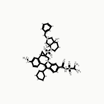 COc1ccc2c(c1)C1CC1(S(=O)(=O)N1CCC[C@H]3CN(Cc4ccccc4)C[C@H]31)Cn1c-2c(C2CCCCC2)c2ccc(C(=O)NS(=O)(=O)C(C)C)cc21